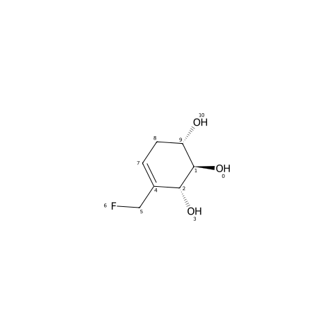 O[C@H]1[C@H](O)C(CF)=CC[C@@H]1O